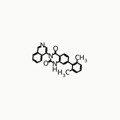 Cc1cccc(C)c1-c1ccc2c(=O)n(-c3cncc4ccccc34)c(=O)[nH]c2c1